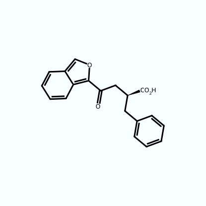 O=C(C[C@H](Cc1ccccc1)C(=O)O)c1occ2ccccc12